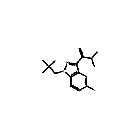 C=C(c1nn(CC(C)(C)C)c2ccc(F)cc12)C(C)C